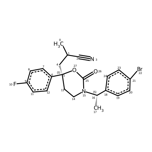 CC(C#N)C[C@@]1(c2ccc(F)cc2)CCN([C@@H](C)c2ccc(Br)cc2)C(=O)O1